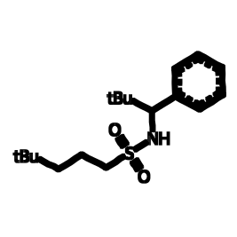 CC(C)(C)CCCS(=O)(=O)NC(c1ccccc1)C(C)(C)C